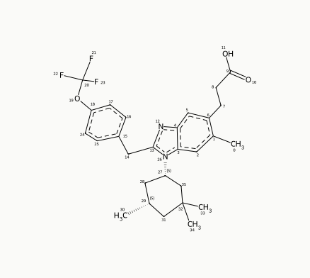 Cc1cc2c(cc1CCC(=O)O)nc(Cc1ccc(OC(F)(F)F)cc1)n2[C@H]1C[C@@H](C)CC(C)(C)C1